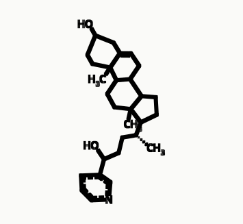 C[C@H](CCC(O)c1cccnc1)C1CCC2C3CC=C4CC(O)CCC4(C)C3CCC21C